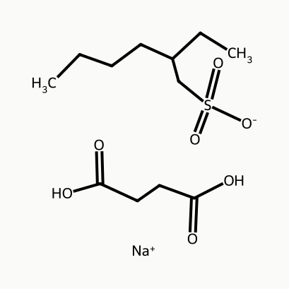 CCCCC(CC)CS(=O)(=O)[O-].O=C(O)CCC(=O)O.[Na+]